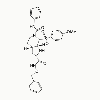 COc1ccc(S(=O)(=O)C2[C@@H]3N[C@H](C(=O)NOCc4ccccc4)C[C@@H]3CCN2C(=O)Nc2ccccc2)cc1